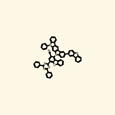 N#Cc1cc(-c2nc(-c3ccccc3)nc(-c3ccccc3)n2)c2oc3ccccc3c2c1-n1c2ccc(-c3ccc4sc5ccccc5c4c3)cc2c2cc3c4ccccc4n(-c4ccccc4)c3cc21